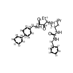 CCC(NC[C@H](CC(C)C)NC(=O)NCc1ccccc1)C(=O)C(=O)NCc1ccc(-c2ccccc2)cc1